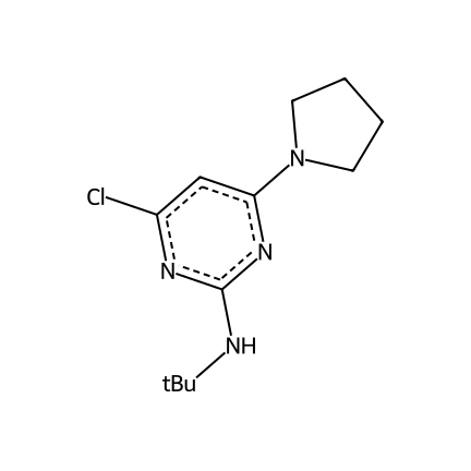 CC(C)(C)Nc1nc(Cl)cc(N2CCCC2)n1